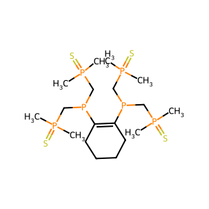 CP(C)(=S)CP(CP(C)(C)=S)C1=C(P(CP(C)(C)=S)CP(C)(C)=S)CCCC1